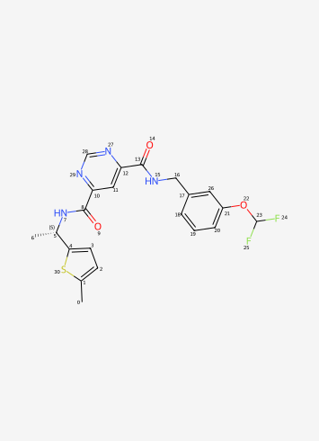 Cc1ccc([C@H](C)NC(=O)c2cc(C(=O)NCc3cccc(OC(F)F)c3)ncn2)s1